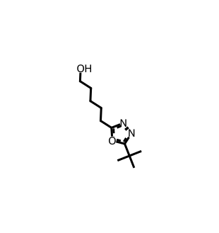 CC(C)(C)c1nnc(CCCCCO)o1